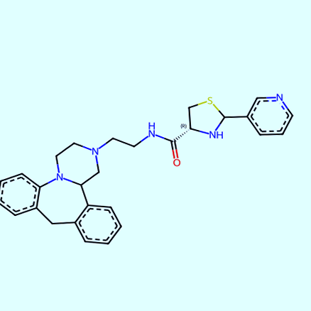 O=C(NCCN1CCN2c3ccccc3Cc3ccccc3C2C1)[C@@H]1CSC(c2cccnc2)N1